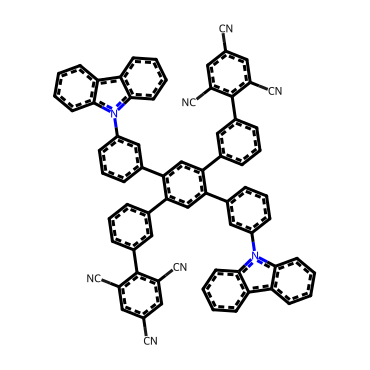 N#Cc1cc(C#N)c(-c2cccc(-c3cc(-c4cccc(-n5c6ccccc6c6ccccc65)c4)c(-c4cccc(-c5c(C#N)cc(C#N)cc5C#N)c4)cc3-c3cccc(-n4c5ccccc5c5ccccc54)c3)c2)c(C#N)c1